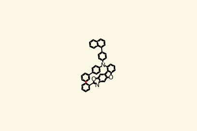 c1ccc(-c2ccc(N(c3ccc(-c4cccc5ccccc45)cc3)c3cccc4oc5cc6nc(-c7ccccc7)oc6cc5c34)cc2)cc1